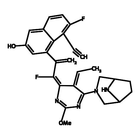 C#Cc1c(F)ccc2cc(O)cc(C(=C)/C(F)=c3/nc(OC)nc(N4CC5CCC(C4)N5)/c3=C\C)c12